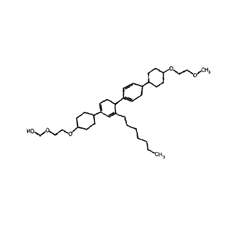 CCCCCCCC1=CC(C2CCC(OCCOCO)CC2)=CCC1C1=CCC(C2CCC(OCCOC)CC2)C=C1